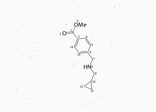 COC(=O)c1ccc(CNCC2CC2)cc1